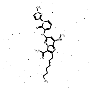 CCCCCCCc1nc2c(NC)cc(Nc3cccn(-c4ccn(C)n4)c3=O)nn2c1C(N)=O